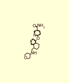 NC(=O)c1ccc(Oc2cccc3c2CCCC3CNC2CCOCC2)nc1